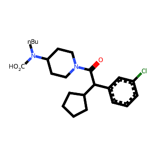 CCCCN(C(=O)O)C1CCN(C(=O)C(c2cccc(Cl)c2)C2CCCC2)CC1